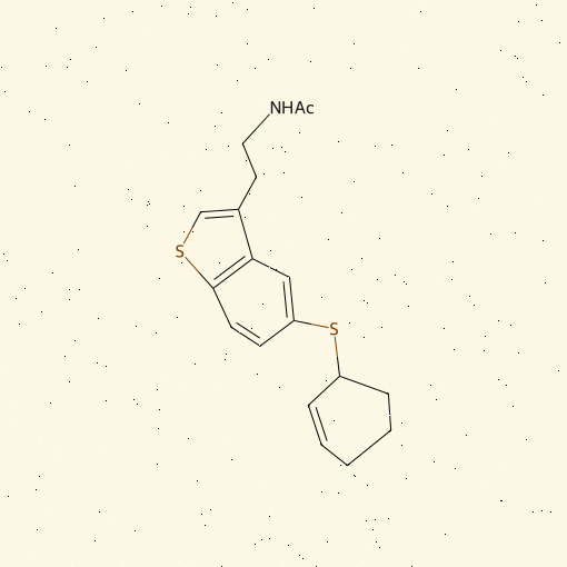 CC(=O)NCCc1csc2ccc(SC3C=CCCC3)cc12